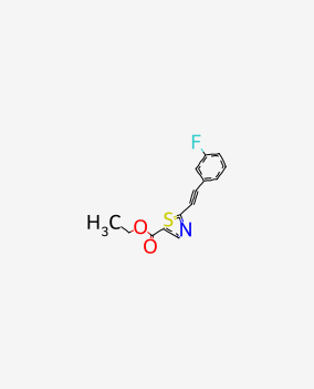 CCOC(=O)c1cnc(C#Cc2cccc(F)c2)s1